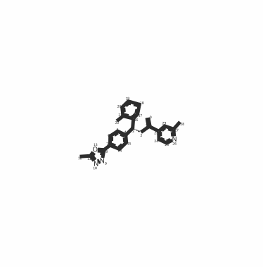 C=C(C[C@H](c1ccc(-c2nnc(C)o2)cc1)c1ccccc1C)c1ccnc(C)c1